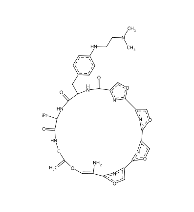 C=C1CNC(=O)C(C(C)C)NC(=O)C(Cc2ccc(NCCN(C)C)cc2)NC(=O)c2coc(n2)-c2coc(n2)-c2coc(n2)-c2coc(n2)/C(N)=C/O1